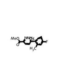 C=C(/C=C\C(=N/N)C(=O)OC)c1ccc(F)cc1C